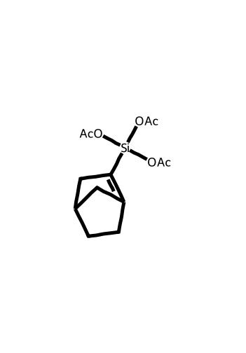 CC(=O)O[Si](OC(C)=O)(OC(C)=O)C1=C2CCC(C2)C1